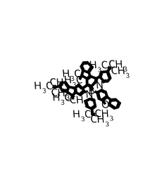 CC(C)(C)c1ccc(N2B3c4cc5oc6ccccc6c5cc4-n4c5ccc(C(C)(C)C)cc5c5c6c(c(c3c54)-c3cc4c(cc32)C(C)(C)c2cc(C(C)(C)C)ccc2-4)C(C)(C)c2ccccc2-6)cc1